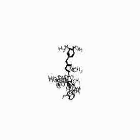 Cn1cc(Cc2ccc(CO)c(N)c2)cc1[C@@H]1O[C@@H]2C[C@H]3[C@@H]4C[C@H](F)C5=CCC=C[C@]5(C)[C@@]4(F)[C@@H](O)C[C@]3(C)[C@]2(C(=O)COP(=O)(O)O)O1